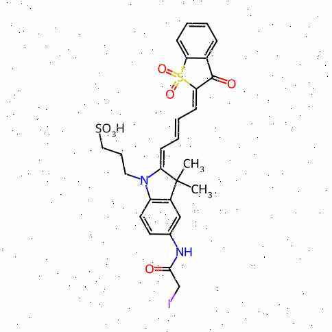 CC1(C)\C(=C/C=C/C=C2/C(=O)c3ccccc3S2(=O)=O)N(CCCS(=O)(=O)O)c2ccc(NC(=O)CI)cc21